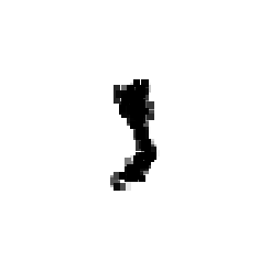 O=C1CCC(N2C(=O)c3ccc(N4CC(N5CC(OC6CCN(c7ncc(Cl)cn7)CC6)C5)C4)cc3C2=O)C(=O)N1